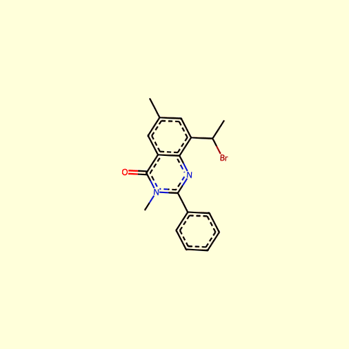 Cc1cc(C(C)Br)c2nc(-c3ccccc3)n(C)c(=O)c2c1